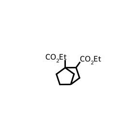 CCOC(=O)C1CC2CCC1(C(=O)OCC)C2